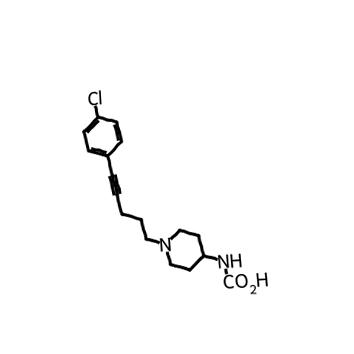 O=C(O)NC1CCN(CCCC#Cc2ccc(Cl)cc2)CC1